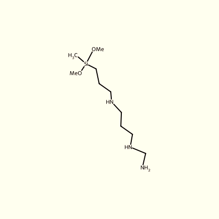 CO[Si](C)(CCCNCCCNCN)OC